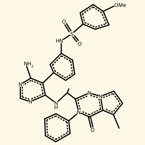 COc1ccc(S(=O)(=O)Nc2cccc(-c3c(N)ncnc3NC(C)c3nn4ccc(C)c4c(=O)n3-c3ccccc3)c2)cc1